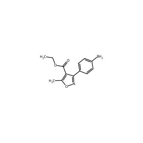 Bc1ccc(-c2noc(C)c2C(=O)OCC)cc1